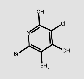 Bc1c(Br)nc(O)c(Cl)c1O